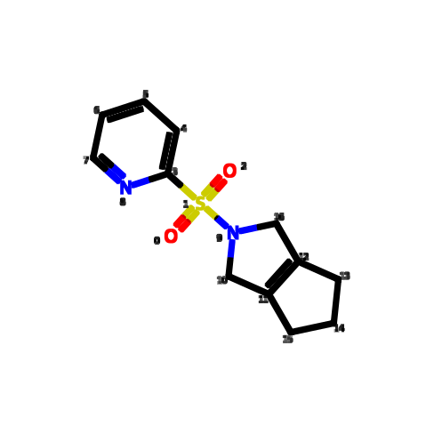 O=S(=O)(c1ccccn1)N1CC2=C(CCC2)C1